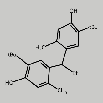 CCC(c1cc(C(C)(C)C)c(O)cc1C)c1cc(C(C)(C)C)c(O)cc1C